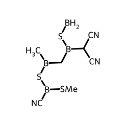 BSB(CB(C)SB(C#N)SC)C(C#N)C#N